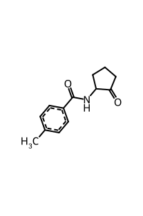 Cc1ccc(C(=O)NC2CCCC2=O)cc1